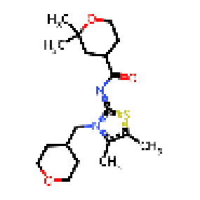 Cc1sc(=NC(=O)C2CCOC(C)(C)C2)n(CC2CCOCC2)c1C